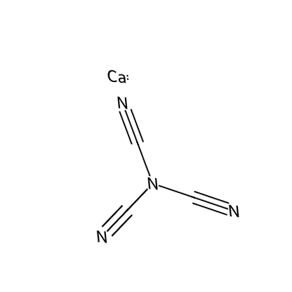 N#CN(C#N)C#N.[Ca]